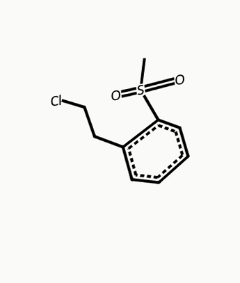 CS(=O)(=O)c1ccccc1CCCl